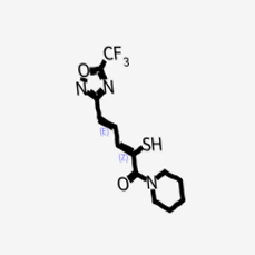 O=C(/C(S)=C/C=C/c1noc(C(F)(F)F)n1)N1CCCCC1